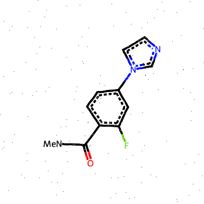 CNC(=O)c1ccc(-n2ccnc2)cc1F